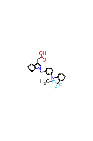 CCN(c1cccc(Cn2cc(CC(=O)O)c3ccccc32)c1)c1ccccc1C(F)(F)F